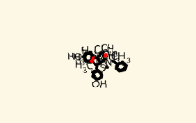 CC(c1ccccc1)N1CSC(C(c2ccc(O)cc2)C(C)(C)C)(C(c2ccc(O)cc2)C(C)(C)C)C1=O